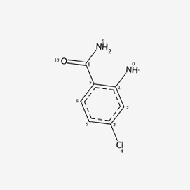 [NH]c1cc(Cl)ccc1C(N)=O